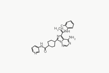 C=C(Nc1ccccc1C)c1nc(C2CCC(C(=O)Nc3cccnc3)CC2)n2ncnc(N)c12